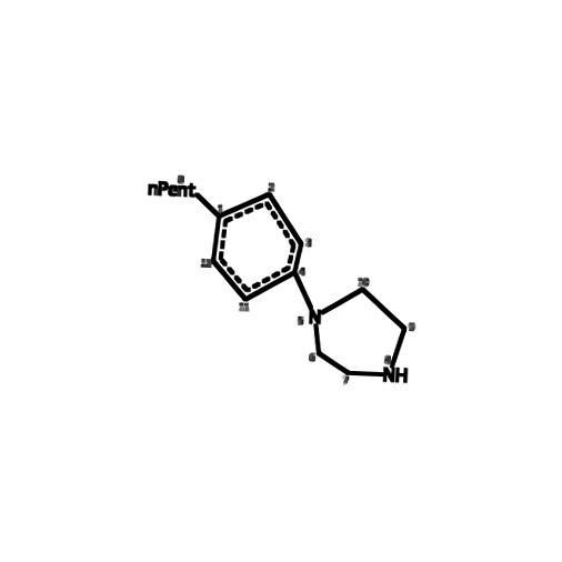 CCCCCc1ccc(N2CCNCC2)cc1